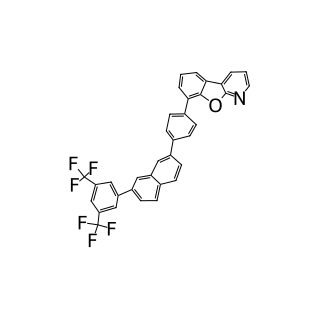 FC(F)(F)c1cc(-c2ccc3ccc(-c4ccc(-c5cccc6c5oc5ncccc56)cc4)cc3c2)cc(C(F)(F)F)c1